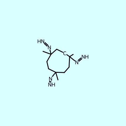 CC1(N=N)CCC(C)(N=N)CCC(C)(N=N)CC1